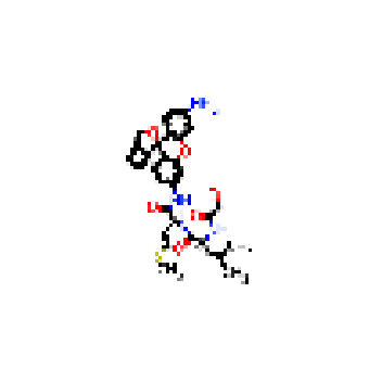 CSCC[C@H](NC(=O)[C@H](CC(C)C)NC(=O)CO)C(=O)Nc1ccc2c(c1)Oc1cc(N)ccc1C21OCc2ccccc21